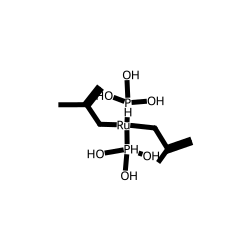 C=C(C)[CH2][Ru]([CH2]C(=C)C)([PH](O)(O)O)[PH](O)(O)O